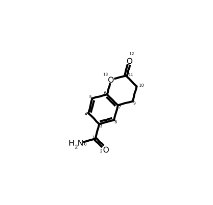 NC(=O)c1ccc2c(c1)CCC(=O)O2